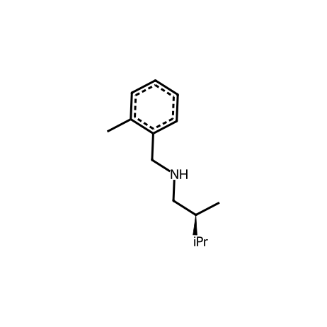 Cc1ccccc1CNC[C@@H](C)C(C)C